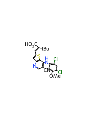 COc1cc(Nc2c(C#N)cnc3cc(C=C(C(=O)O)C(C)(C)C)sc23)c(Cl)cc1Cl